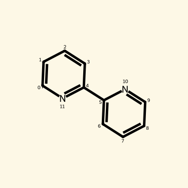 [c]1cccc(-c2ccccn2)n1